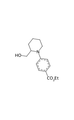 CCOC(=O)c1ccc(N2CCCCC2CO)cc1